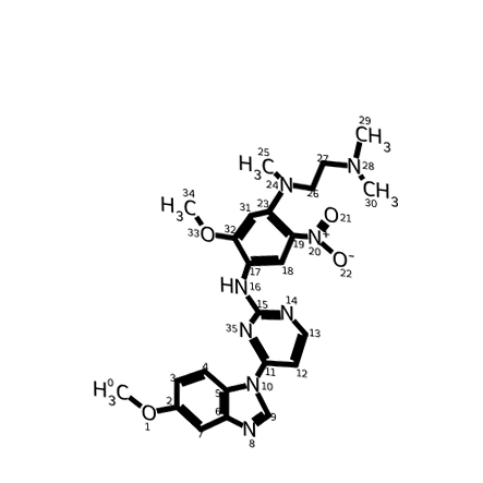 COc1ccc2c(c1)ncn2-c1ccnc(Nc2cc([N+](=O)[O-])c(N(C)CCN(C)C)cc2OC)n1